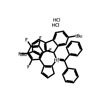 CC(C)(C)c1ccc2c(c1)[CH]([Hf]([C]1=C(c3c(F)c(F)c(F)c(F)c3F)C=CC1)=[C](c1ccccc1)c1ccccc1)c1cc(C(C)(C)C)ccc1-2.Cl.Cl